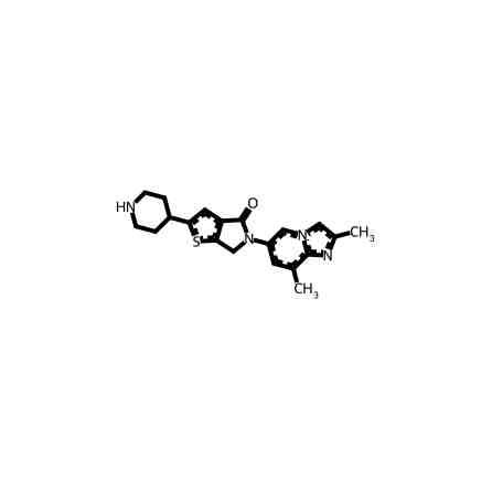 Cc1cn2cc(N3Cc4sc(C5CCNCC5)cc4C3=O)cc(C)c2n1